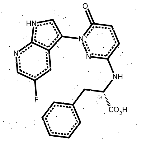 O=C(O)[C@H](Cc1ccccc1)Nc1ccc(=O)n(-c2c[nH]c3ncc(F)cc23)n1